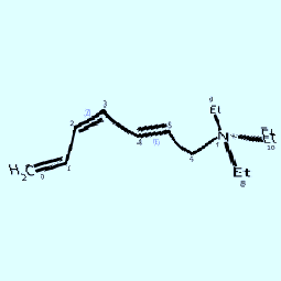 C=C/C=C\C=C\C[N+](CC)(CC)CC